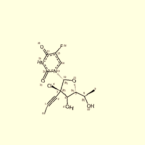 CC#C[C@@]1(Cl)C(O)[C@@H]([C@@H](C)O)O[C@H]1n1cc(F)c(=O)[nH]c1=O